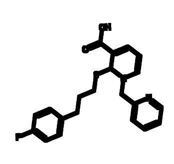 O=C(O)C1=CC=CN(Cc2ccccn2)C1SCCCc1ccc(F)cc1